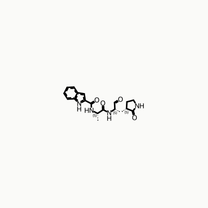 C[C@H](NC(=O)c1cc2ccccc2[nH]1)C(=O)N[C@H](C=O)C[C@@H]1CCNC1=O